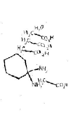 CC(=O)O.CC(=O)O.CC(=O)O.CC(=O)O.NC1(N)CCCCC1.O